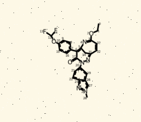 CCOC1=NC2=C(c3ccc(OC(F)F)cc3)C(=O)N(c3ccc4nn(C)cc4c3)N=C(C=C1)C2